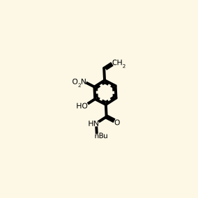 C=Cc1ccc(C(=O)NCCCC)c(O)c1[N+](=O)[O-]